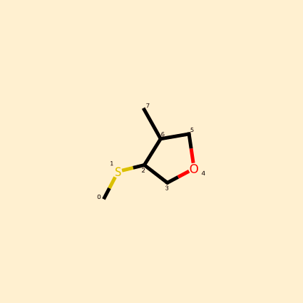 CSC1COCC1C